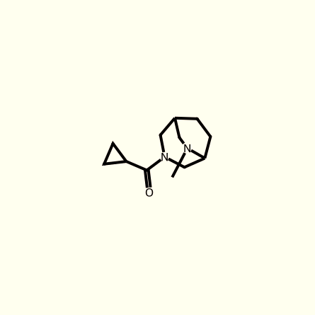 CN1CC2CCC1CN(C(=O)C1CC1)C2